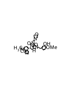 COc1ccc(CCN2C[C@@H]3C[C@@H](c4ccc(N(C)C)c5ccccc45)N4C(=O)N(CCN5CCOCC5)C(=O)C34C2)cc1O